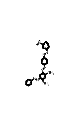 CN(C)c1cccc(N=Nc2ccc(N=Nc3cc(N=Nc4ccccc4)c(N)cc3N)cc2)c1